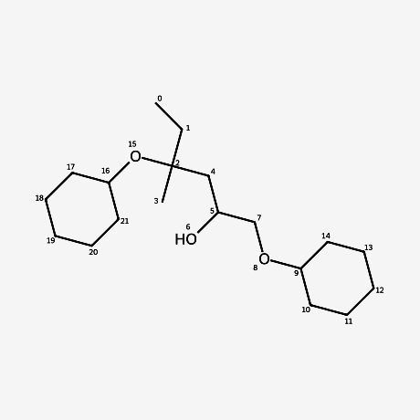 CCC(C)(CC(O)COC1CCCCC1)OC1CCCCC1